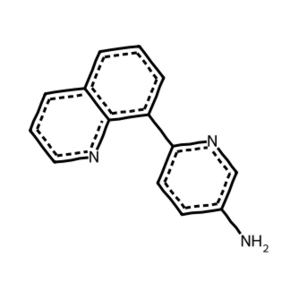 Nc1ccc(-c2cccc3cccnc23)nc1